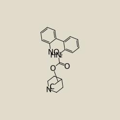 O=C(Nc1ccccc1-c1ccccc1[N+](=O)[O-])OC1CN2CCC1CC2